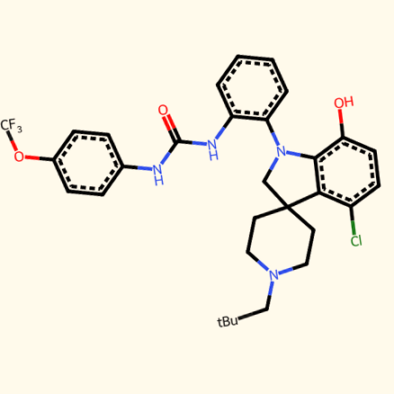 CC(C)(C)CN1CCC2(CC1)CN(c1ccccc1NC(=O)Nc1ccc(OC(F)(F)F)cc1)c1c(O)ccc(Cl)c12